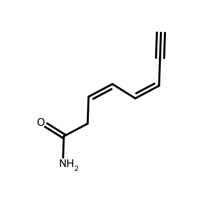 C#C/C=C\C=C/CC(N)=O